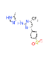 Cc1[nH]cnc1CNc1nc(-c2ccc(S(C)(=O)=O)cc2)cc(C(F)(F)F)n1